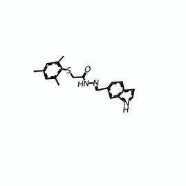 Cc1cc(C)c(SCC(=O)NN=Cc2ccc3cc[nH]c3c2)c(C)c1